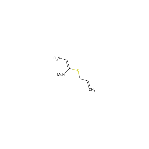 C=CCS/C(=C/[N+](=O)[O-])NC